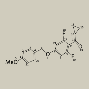 COc1ccc(COc2cc(F)c(C(=O)C3CC3)c(F)c2)cc1